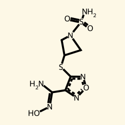 N/C(=N\O)c1nonc1SC1CN(S(N)(=O)=O)C1